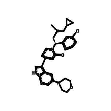 CN(CC1CC1)C[C@H](c1cccc(Cl)c1)n1ccc(-c2c[nH]c3ncc(N4CCOCC4)cc23)cc1=O